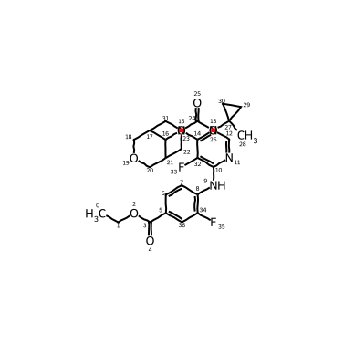 CCOC(=O)c1ccc(Nc2ncnc(OC3C4COCC3CN(C(=O)OC3(C)CC3)C4)c2F)c(F)c1